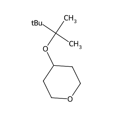 CC(C)(C)C(C)(C)OC1CCOCC1